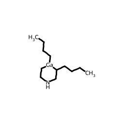 CCCC[CH]1CNC[CH2][Ga]1[CH2]CCC